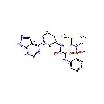 CCCN(CC)S(=O)(=O)c1ccccc1NCC(=O)N[C@@H]1CCCN(c2ncnc3[nH]ncc23)C1